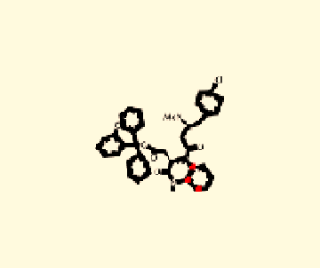 CN[C@H](CC(=O)NC[C@H](C)N(C)C(=O)[C@@H](CC(=O)OC(c1ccccc1)(c1ccccc1)c1ccccc1Cl)Cc1ccccc1)Cc1ccc(Cl)cc1